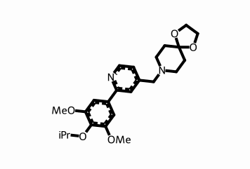 COc1cc(-c2cc(CN3CCC4(CC3)OCCO4)ccn2)cc(OC)c1OC(C)C